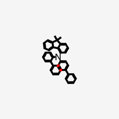 CC1(C)c2ccccc2-c2c(N(c3ccc(-c4ccccc4)cc3)c3ccccc3-c3ccccc3)cccc21